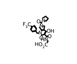 O=C(O)CNC(=O)c1c(O)c2c(n(Cc3ccc(C(F)(F)F)cc3)c1=O)CN(C(=O)N1CCCC1)C2